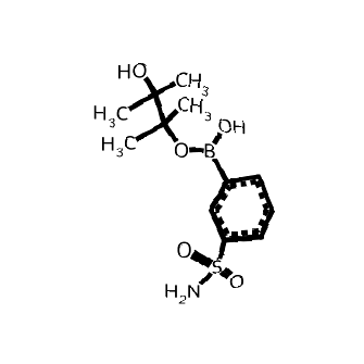 CC(C)(O)C(C)(C)OB(O)c1cccc(S(N)(=O)=O)c1